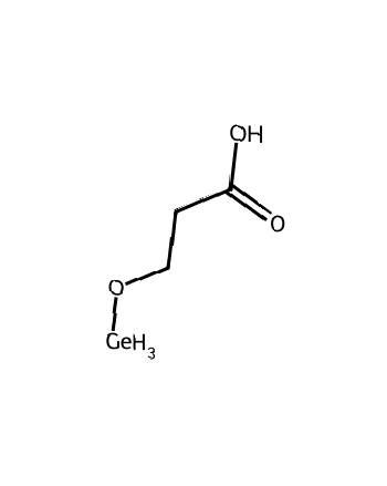 O=C(O)CC[O][GeH3]